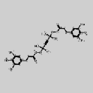 CC(C)(C#CC(C)(C)OOC(=O)CCc1cc(C(C)(C)C)c(O)c(C(C)(C)C)c1)OOC(=O)CCc1cc(C(C)(C)C)c(O)c(C(C)(C)C)c1